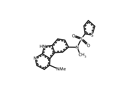 CNc1ccnc2[nH]c3ccc(N(C)S(=O)(=O)c4cccs4)cc3c12